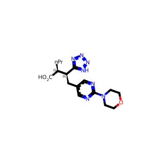 CCC[C@H](C(=O)O)[C@H](Cc1cnc(N2CCOCC2)nc1)c1nnn[nH]1